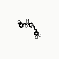 O=C(Cc1cccc2cocc12)NC1CCN(CCCc2ccc(Cl)c(Cl)c2)CC1